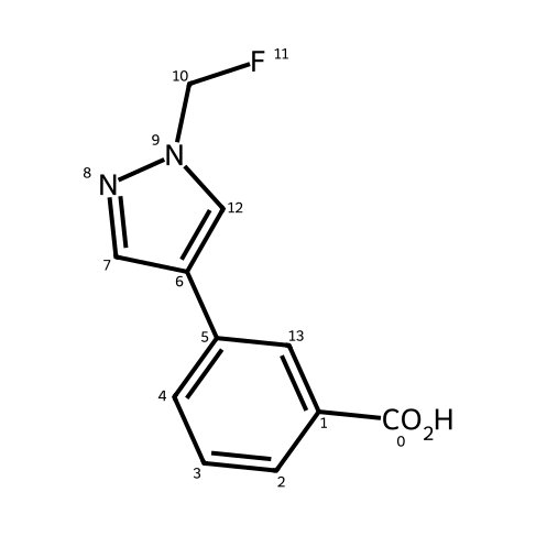 O=C(O)c1cccc(-c2cnn(CF)c2)c1